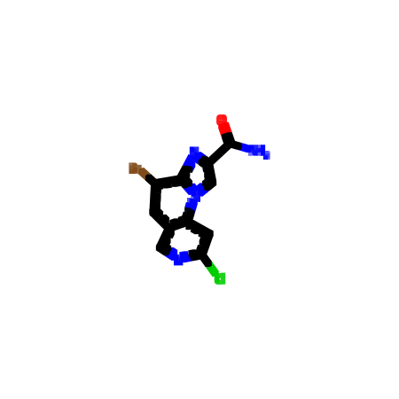 NC(=O)c1cn2c(n1)c(Br)cc1cnc(Cl)cc12